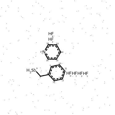 F.F.F.F.F.F.[SbH2][CH2]c1ccccc1.c1ccncc1